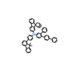 CC1(C)c2ccccc2-c2cccc(-c3ccc(N(c4ccc(-c5ccc(-c6ccccc6)cc5)c(-c5ccccc5)c4)c4ccc5c(c4)C4(CC6CCC4C6)c4ccccc4-5)cc3)c21